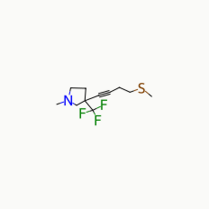 CSCCC#CC1(C(F)(F)F)CCN(C)C1